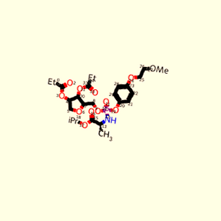 CCC(=O)OC1COC(COP(=O)(N[C@@H](C)C(=O)OC(C)C)Oc2ccc(OCCOC)cc2)C1OC(=O)CC